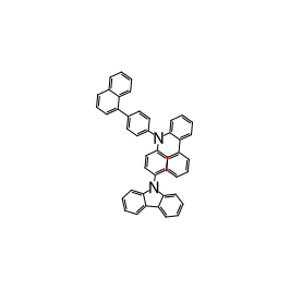 c1ccc(-c2ccccc2N(c2ccc(-c3cccc4ccccc34)cc2)c2ccc(-n3c4ccccc4c4ccccc43)cc2)cc1